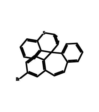 Brc1ccc2c(c1)C=Cc1ccccc1C21c2ccccc2Sc2ccccc21